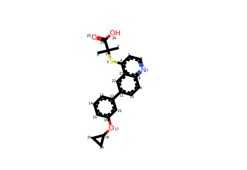 CC(C)(Sc1ccnc2ccc(-c3cccc(OC4CC4)c3)cc12)C(=O)O